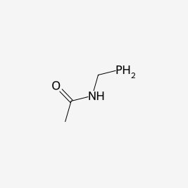 CC(=O)NCP